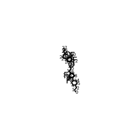 CCCC1CCC(c2ccc(CCCOc3cc4c(c(F)c3F)OC(CCC)CC4)c(F)c2F)CC1